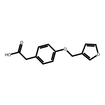 O=C(O)Cc1ccc(OCc2ccoc2)cc1